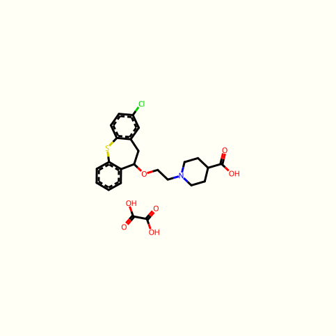 O=C(O)C(=O)O.O=C(O)C1CCN(CCOC2Cc3cc(Cl)ccc3Sc3ccccc32)CC1